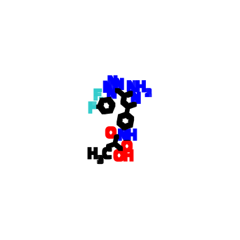 CCC(C(=O)O)C(=O)Nc1ccc(-c2cnc(N)c(-c3nnnn3-c3cccc(F)c3F)c2)cc1